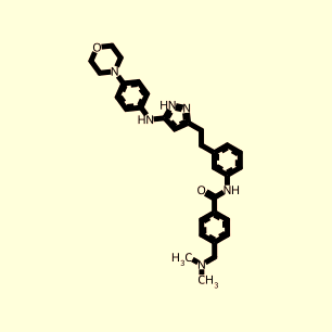 CN(C)Cc1ccc(C(=O)Nc2cccc(CCc3cc(Nc4ccc(N5CCOCC5)cc4)[nH]n3)c2)cc1